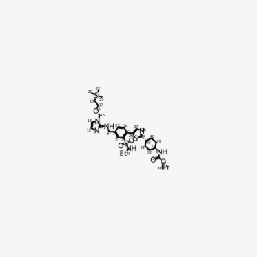 CCNS(=O)(=O)c1cc(CNc2nccn2COCC[Si](C)(C)C)ccc1-c1cnc([C@H]2CC[C@H](NC(=O)OC(C)C)CC2)s1